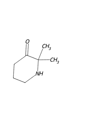 CC1(C)NCCCC1=O